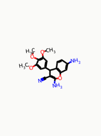 COc1cc(C2C(C#N)=C(N)Oc3cc(N)ccc32)cc(OC)c1OC